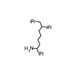 CC(C)CC(CCCCC(N)C(C)C)C(C)C